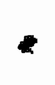 CC(Nc1cc(N2CCN(C(=O)C3CCCN3)[C@H](C)C2)ccc1C#N)c1ccc(Cl)cc1Cl